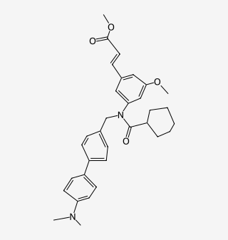 COC(=O)/C=C/c1cc(OC)cc(N(Cc2ccc(-c3ccc(N(C)C)cc3)cc2)C(=O)C2CCCCC2)c1